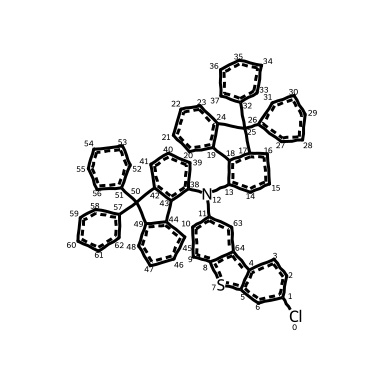 Clc1ccc2c(c1)sc1ccc(N(c3cccc4c3-c3ccccc3C4(c3ccccc3)c3ccccc3)c3cccc4c3-c3ccccc3C4(c3ccccc3)c3ccccc3)cc12